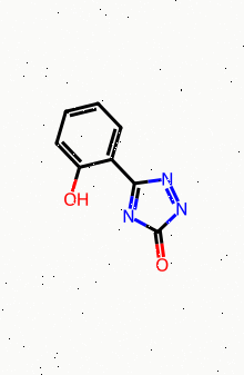 O=C1N=NC(c2ccccc2O)=N1